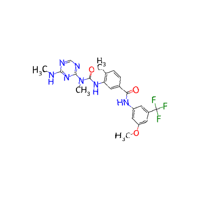 CNc1ncnc(N(C)C(=O)Nc2cc(C(=O)Nc3cc(OC)cc(C(F)(F)F)c3)ccc2C)n1